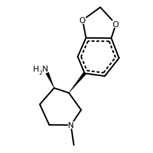 CN1CC[C@@H](N)[C@@H](c2ccc3c(c2)OCO3)C1